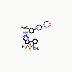 COc1cc(N2CCC(N3CCCOCC3)CC2)ccc1Nc1ncc2ccc(-c3ccccc3N(C)S(C)(=O)=O)n2n1